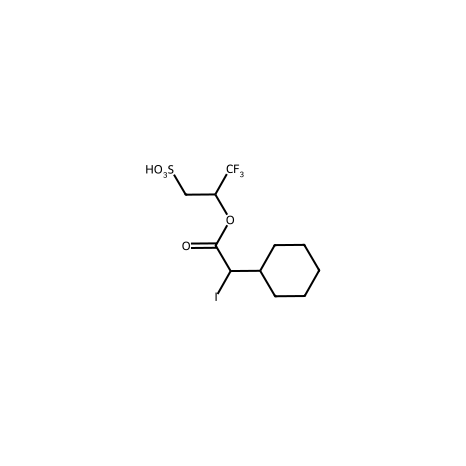 O=C(OC(CS(=O)(=O)O)C(F)(F)F)C(I)C1CCCCC1